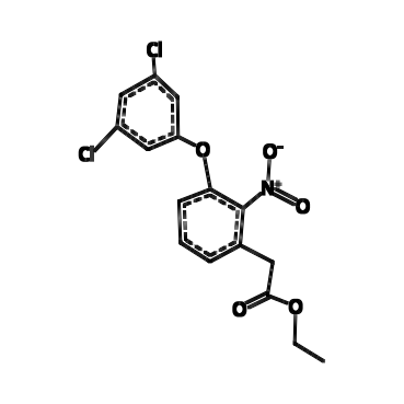 CCOC(=O)Cc1cccc(Oc2cc(Cl)cc(Cl)c2)c1[N+](=O)[O-]